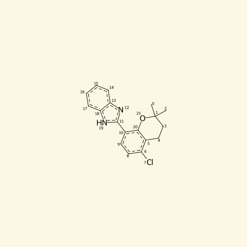 CC1(C)CCc2c(Cl)ccc(-c3nc4ccccc4[nH]3)c2O1